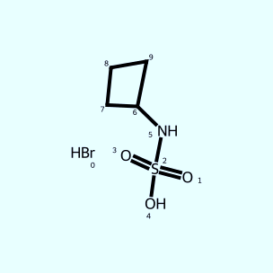 Br.O=S(=O)(O)NC1CCC1